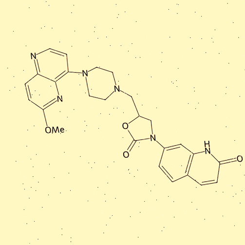 COc1ccc2nccc(N3CCN(CC4CN(c5ccc6ccc(=O)[nH]c6c5)C(=O)O4)CC3)c2n1